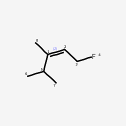 C/C(=C/CF)C(C)C